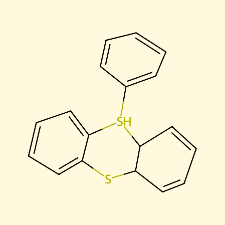 C1=CC2Sc3ccccc3[SH](c3ccccc3)C2C=C1